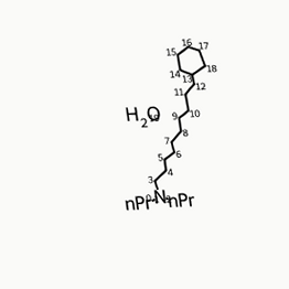 CCCN(CCC)CCCCCCCCCCC1CCCCC1.O